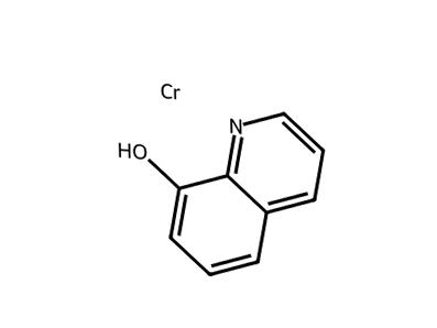 Oc1cccc2cccnc12.[Cr]